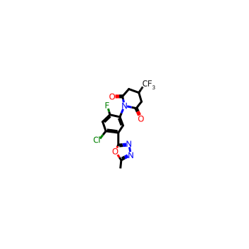 Cc1nnc(-c2cc(N3C(=O)CC(C(F)(F)F)CC3=O)c(F)cc2Cl)o1